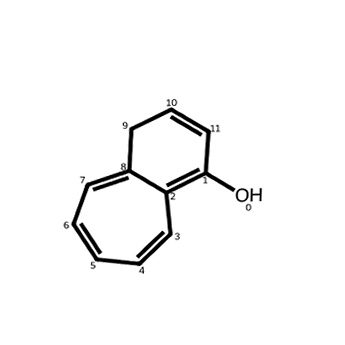 OC1=C2C=CC=CC=C2CC=C1